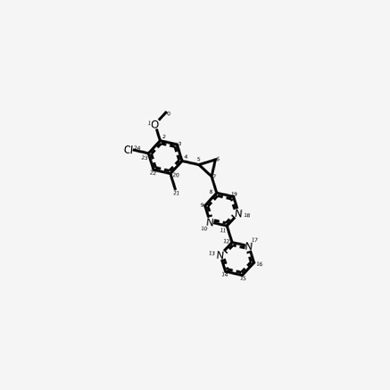 COc1cc(C2CC2c2cnc(-c3ncccn3)nc2)c(C)cc1Cl